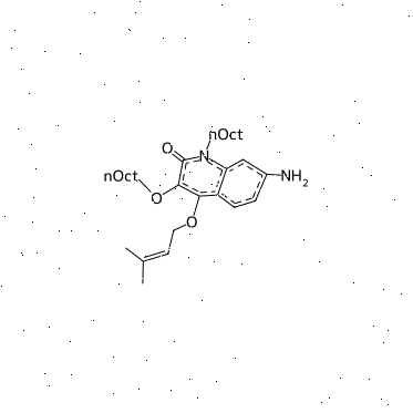 CCCCCCCCOc1c(OCC=C(C)C)c2ccc(N)cc2n(CCCCCCCC)c1=O